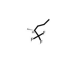 CCC[C@@H](C)C(F)(F)F